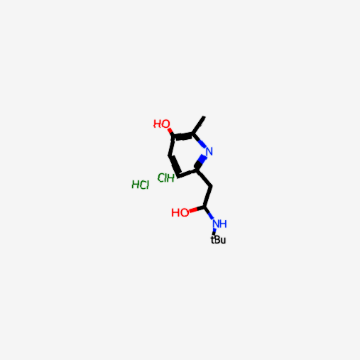 Cc1nc(CC(O)NC(C)(C)C)ccc1O.Cl.Cl